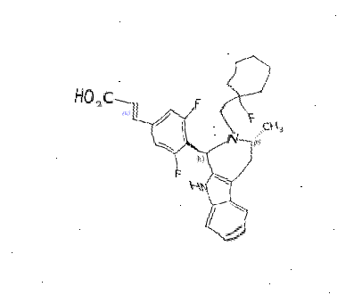 C[C@@H]1Cc2c([nH]c3ccccc23)[C@@H](c2c(F)cc(/C=C/C(=O)O)cc2F)N1CC1(F)CCCCC1